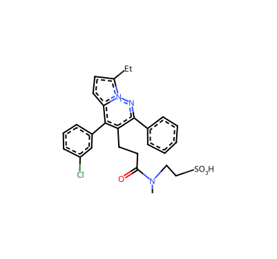 CCc1ccc2c(-c3cccc(Cl)c3)c(CCC(=O)N(C)CCS(=O)(=O)O)c(-c3ccccc3)nn12